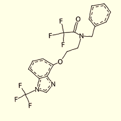 O=C(N(CCOc1cccc2c1ncn2C(F)(F)F)Cc1ccccc1)C(F)(F)F